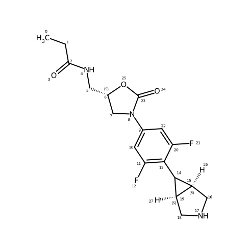 CCC(=O)NC[C@H]1CN(c2cc(F)c(C3[C@H]4CNC[C@@H]34)c(F)c2)C(=O)O1